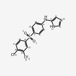 O=S(=O)(c1ccc(Nc2cnc[nH]2)cc1)c1ccc(Cl)c(C(F)(F)F)c1